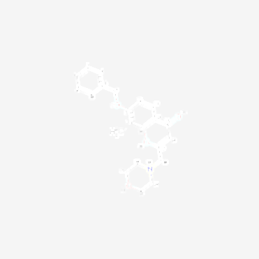 Cc1c(OCc2ccccc2)ccc2c(=O)cc(CN3CCOCC3)oc12